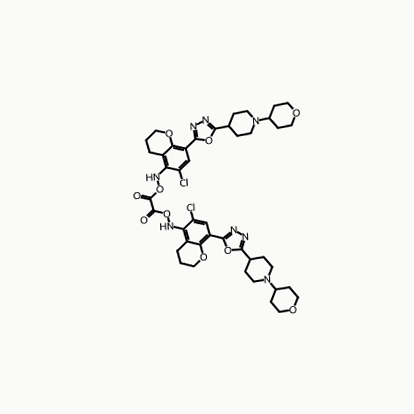 O=C(ONc1c(Cl)cc(-c2nnc(C3CCN(C4CCOCC4)CC3)o2)c2c1CCCO2)C(=O)ONc1c(Cl)cc(-c2nnc(C3CCN(C4CCOCC4)CC3)o2)c2c1CCCO2